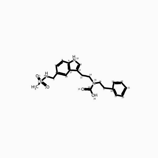 CS(=O)(=O)NCc1ccc2[nH]cc(CCN(CCc3ccccc3)C(=O)O)c2c1